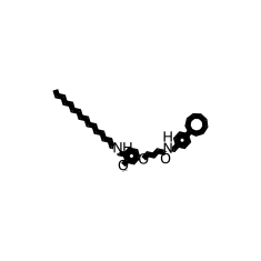 CCCCCCCCCCCCCCCCNCc1ccc(OCCCC(=O)NCc2ccc(C3CCCCCCCC3)cc2)cc1OC